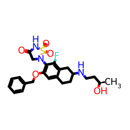 C[C@@H](O)CCNC1CCc2cc(OCc3ccccc3)c(N3CC(=O)NS3(=O)=O)c(F)c2C1